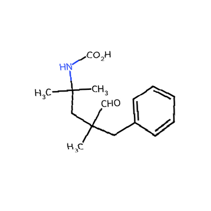 CC(C=O)(Cc1ccccc1)CC(C)(C)NC(=O)O